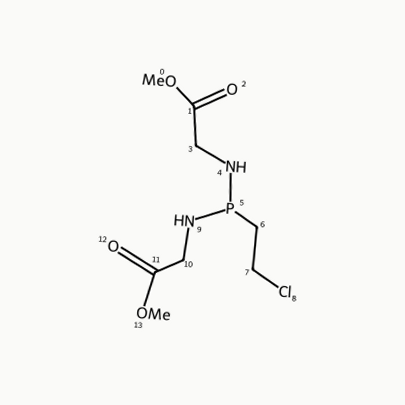 COC(=O)CNP(CCCl)NCC(=O)OC